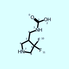 O=C(O)NCC1CNCC1(F)F